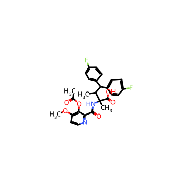 COc1ccnc(C(=O)NC(C)(C(=O)O)C(C)C(c2ccc(F)cc2)c2ccc(F)cc2)c1OC(C)=O